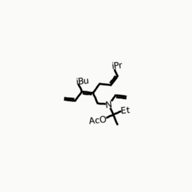 C=C/C(=C(/C/C=C\C(C)C)CN(C=C)C(C)(CC)OC(C)=O)C(C)CC